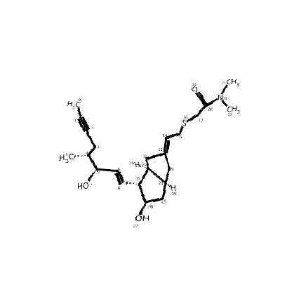 CC#CC[C@@H](C)[C@H](O)C=C[C@@H]1[C@H]2CC(=CCSCC(=O)N(C)C)C[C@H]2C[C@H]1O